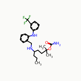 CCCC(CCC(C)(C)OC(N)=O)NCc1ccccc1Nc1cccc(C(F)(F)F)c1